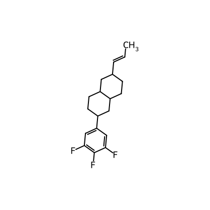 CC=CC1CCC2CC(c3cc(F)c(F)c(F)c3)CCC2C1